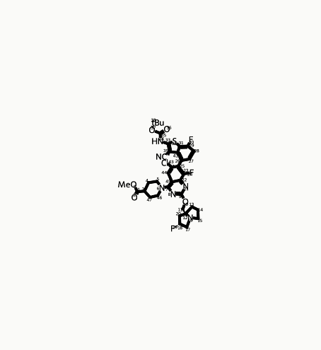 COC(=O)C1CCN(c2nc(OC[C@@]34CCCN3C[C@H](F)C4)nc3c(F)c(-c4ccc(F)c5sc(NC(=O)OC(C)(C)C)c(C#N)c45)c(Cl)cc23)CC1